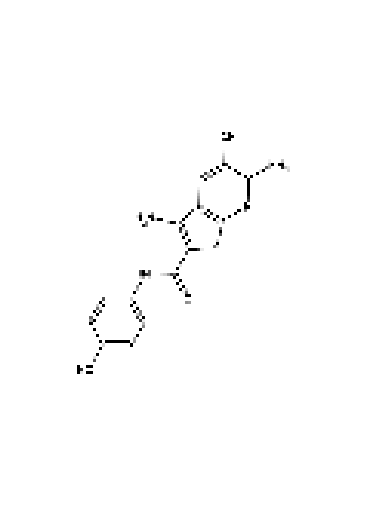 N#Cc1ccc(NC(=O)c2sc3nc(N)c(C#N)cc3c2N)cc1